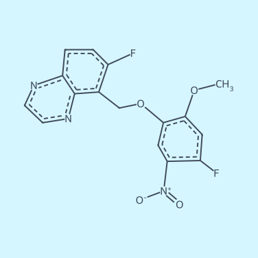 COc1cc(F)c([N+](=O)[O-])cc1OCc1c(F)ccc2nccnc12